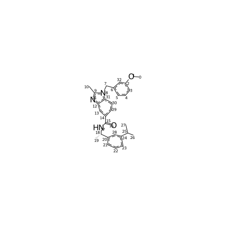 COc1cccc(Cn2c(C)nc3cc(C(=O)N[C@@H](C)c4cccc(C(C)C)c4)ccc32)c1